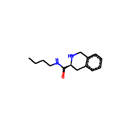 CCCCNC(=O)[C@@H]1Cc2ccccc2CN1